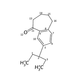 CCC(CC)c1ccc2c(c1)C(=O)CCCC2